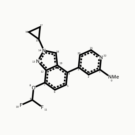 CNc1cc(-c2ccc(OC(F)F)c3nn(C4CC4)cc23)ccn1